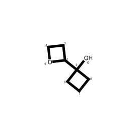 OC1([C]2CCO2)CCC1